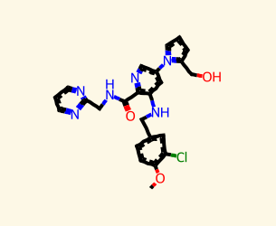 COc1ccc(CNc2cc(-n3cccc3CO)cnc2C(=O)NCc2ncccn2)cc1Cl